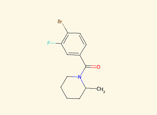 CC1CCCCN1C(=O)c1ccc(Br)c(F)c1